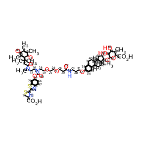 CC1=C(C)C(=O)C(C(C)(C)CC(=O)N(C)CCN(CCOCCOCCC(=O)NCCCOc2ccc3c(c2)CC[C@@H]2[C@@H]3CC[C@]3(C)[C@@H](OC4O[C@@H](C(=O)O)C(C)[C@@H](O)[C@@H]4O)CC[C@@H]23)C(=O)Oc2ccc3nc(C4=NC(C(=O)O)CS4)sc3c2)=C(C)C1=O